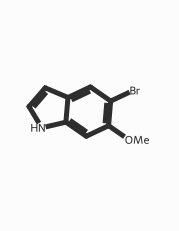 COc1cc2[nH]ccc2cc1Br